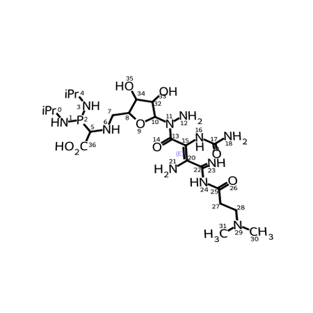 CC(C)NP(NC(C)C)C(NCC1OC(N(N)C(=O)/C(NC(N)=O)=C(\N)C(=N)NC(=O)CCN(C)C)C(O)C1O)C(=O)O